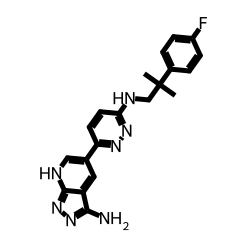 CC(C)(CNc1ccc(-c2c[nH]c3nnc(N)c-3c2)nn1)c1ccc(F)cc1